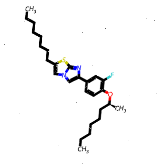 CCCCCCCCc1cn2cc(-c3ccc(O[C@@H](C)CCCCCC)c(F)c3)nc2s1